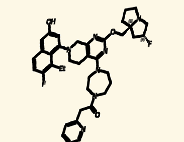 CCc1c(F)ccc2cc(O)cc(N3CCc4c(nc(OC[C@@]56CCCN5C[C@H](F)C6)nc4N4CCCN(C(=O)Cc5ccccn5)CC4)C3)c12